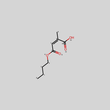 CCCCOC(=O)/C=C(/C)C(=O)O